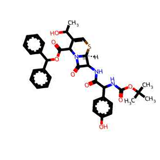 CC(O)C1=CS[C@H]2C(NC(=O)C(NC(=O)OC(C)(C)C)c3ccc(O)cc3)C(=O)N2C1C(=O)OC(c1ccccc1)c1ccccc1